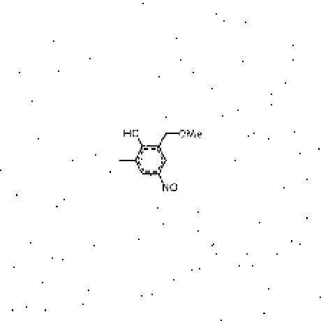 COCc1cc(N=O)cc(C)c1O